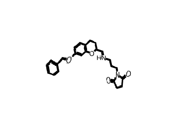 O=C1CCC(=O)N1CCCNCC1CCc2ccc(OCc3ccccc3)cc2O1